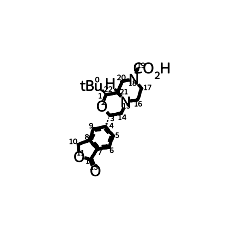 CC(C)(C)[C@@H]1O[C@@H](c2ccc3c(c2)COC3=O)CN2CCN(C(=O)O)C[C@@H]12